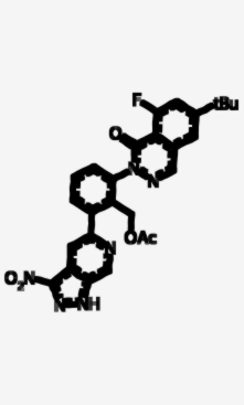 CC(=O)OCc1c(-c2cc3c([N+](=O)[O-])n[nH]c3cn2)cccc1-n1ncc2cc(C(C)(C)C)cc(F)c2c1=O